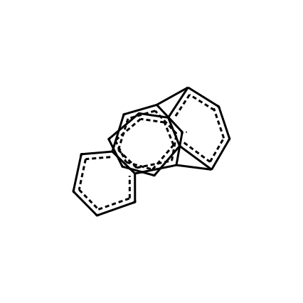 [c]1c2cc3ccccc3c1-c1ccc-2c2ccccc12